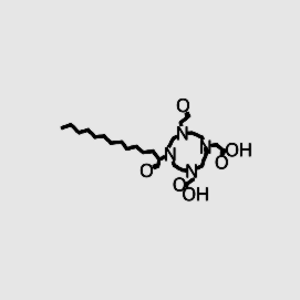 CCCCCCCCCCCCC(C=O)N1CCN(CC=O)CCN(CC(=O)O)CCN(CC(=O)O)CC1